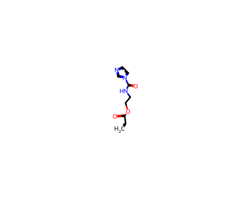 C=CC(=O)OCCNC(=O)n1ccnc1